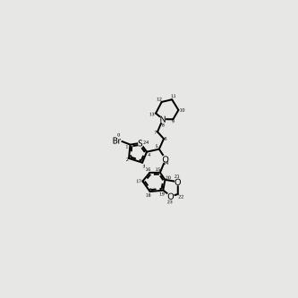 Brc1ccc(C(CCN2CCCCC2)Oc2cccc3c2OCO3)s1